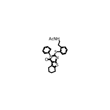 CC(=O)NCCc1ccccc1Sc1nc2sc3c(c2c(=O)n1-c1ccccc1)CCCC3